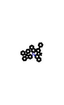 CC1(C)c2cc(-c3ccccc3)ccc2-c2c(N(c3ccc4c(c3)C(c3ccccc3)(c3ccccc3)c3ccccc3-4)c3ccc4ccccc4c3)cc3ccccc3c21